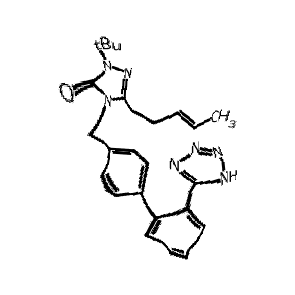 CC=CCc1nn(C(C)(C)C)c(=O)n1Cc1ccc(-c2ccccc2-c2nnn[nH]2)cc1